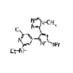 CCCn1cc(-c2nncn2C)c(-c2cc(Cl)nc(NCC)c2)n1